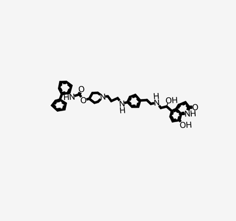 O=C(Nc1ccccc1-c1ccccc1)OC1CCN(CCCNc2ccc(CCNC[C@H](O)c3ccc(O)c4[nH]c(=O)ccc34)cc2)CC1